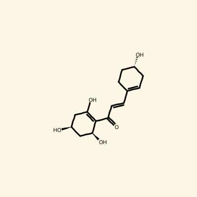 O=C(/C=C/C1=CC[C@@H](O)CC1)C1=C(O)C[C@H](O)C[C@@H]1O